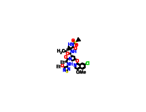 C=C[C@@H]1C[C@]1(NC(=O)[C@@H]1C[C@@H](Oc2ncc(OC)c3ccc(Cl)cc23)CN1C(=O)[C@@H](CC)Nc1nsnc1OCC)C(=O)NS(=O)(=O)C1CC1